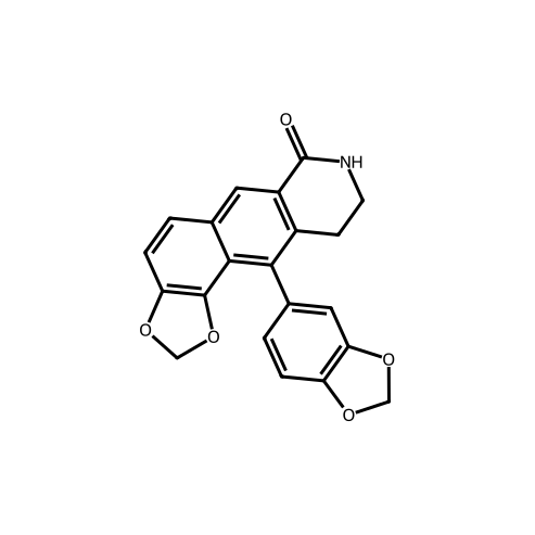 O=C1NCCc2c1cc1ccc3c(c1c2-c1ccc2c(c1)OCO2)OCO3